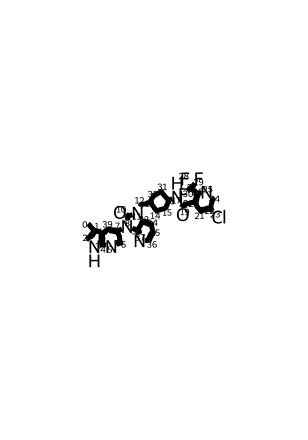 Cc1c[nH]c2ncc(-n3c(=O)n(CC4CCC(NC(=O)c5cc(Cl)cnc5C(F)(F)F)CC4)c4cccnc43)cc12